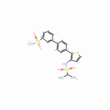 CC(C)S(=O)(=O)Nc1ccsc1-c1ccc(-c2cccc(S(N)(=O)=O)c2)cc1